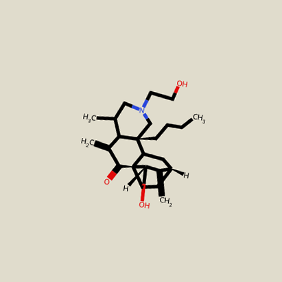 C=C1C(=O)[C@@]23CC[C@@H](CC2[C@@]2(CCCC)CN(CCO)CC(C)C12)C(=C)[C@@H]3O